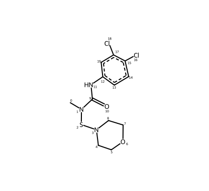 CN(SN1CCOCC1)C(=O)Nc1ccc(Cl)c(Cl)c1